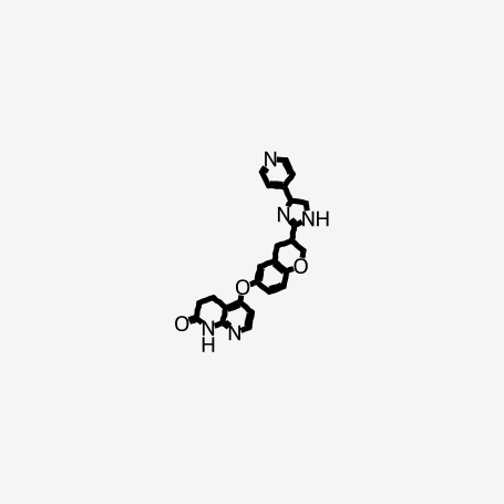 O=C1CCc2c(Oc3ccc4c(c3)CC(C3=NC(c5ccncc5)CN3)CO4)ccnc2N1